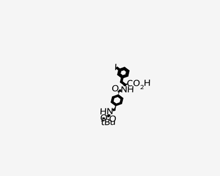 CC(C)(C)OC(=O)NC[C@H]1CC[C@H](C(=O)N[C@@H](Cc2cccc(I)c2)C(=O)O)CC1